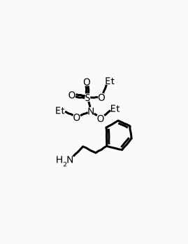 CCON(OCC)S(=O)(=O)OCC.NCCc1ccccc1